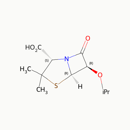 CC(C)O[C@@H]1C(=O)N2[C@@H]1SC(C)(C)[C@@H]2C(=O)O